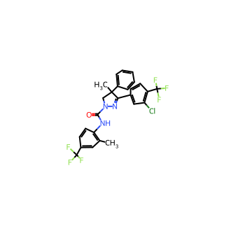 Cc1cc(C(F)(F)F)ccc1NC(=O)N1CC(C)(c2ccccc2)C(c2ccc(C(F)(F)F)c(Cl)c2)=N1